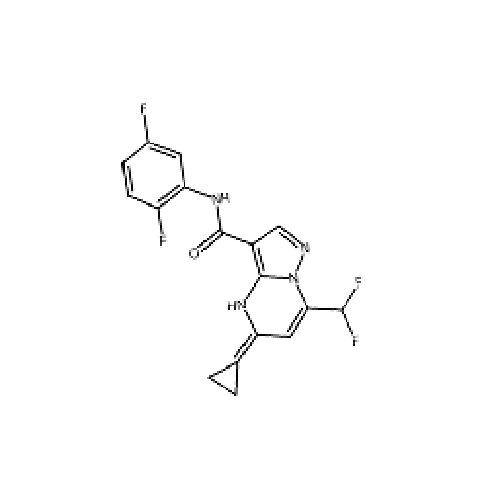 O=C(Nc1cc(F)ccc1F)c1cnn2c1NC(=C1CC1)C=C2C(F)F